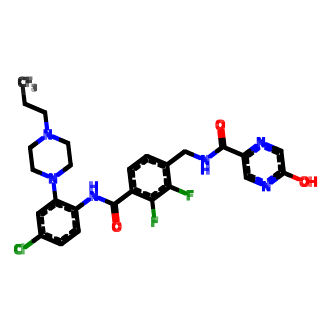 O=C(NCc1ccc(C(=O)Nc2ccc(Cl)cc2N2CCN(CCC(F)(F)F)CC2)c(F)c1F)c1cnc(O)cn1